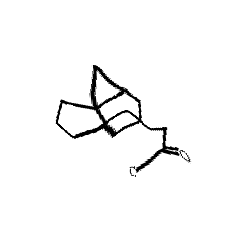 O=C(Cl)CC12CC3CCC4(CC4C1)C3C2